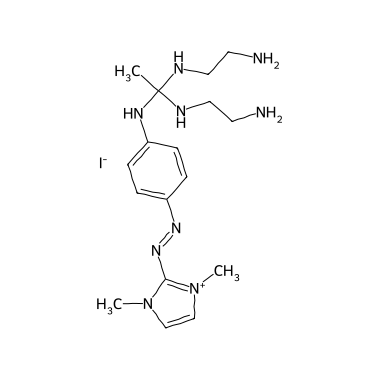 Cn1cc[n+](C)c1N=Nc1ccc(NC(C)(NCCN)NCCN)cc1.[I-]